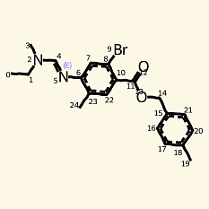 CCN(C)/C=N/c1cc(Br)c(C(=O)OCc2ccc(C)cc2)cc1C